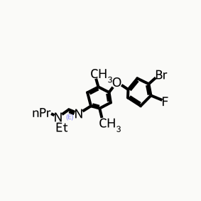 CCCN(/C=N/c1cc(C)c(Oc2ccc(F)c(Br)c2)cc1C)CC